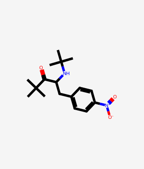 CC(C)(C)NC(Cc1ccc([N+](=O)[O-])cc1)C(=O)C(C)(C)C